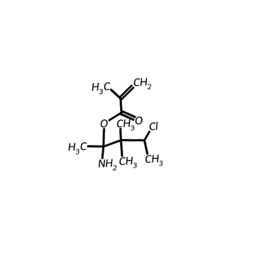 C=C(C)C(=O)OC(C)(N)C(C)(C)C(C)Cl